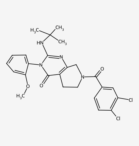 COc1ccccc1-n1c(NC(C)(C)C)nc2c(c1=O)CCN(C(=O)c1ccc(Cl)c(Cl)c1)C2